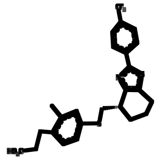 Cc1cc(SC[C@H]2CCCc3sc(-c4ccc(C(F)(F)F)cc4)nc32)ccc1CCC(=O)O